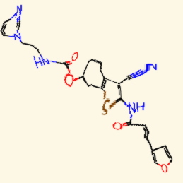 N#Cc1c(NC(=O)C=Cc2ccoc2)sc2c1CCC(OC(=O)NCCn1ccnc1)C2